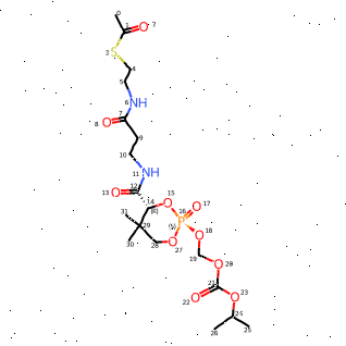 CC(=O)SCCNC(=O)CCNC(=O)[C@@H]1O[P@@](=O)(OCOC(=O)OC(C)C)OCC1(C)C